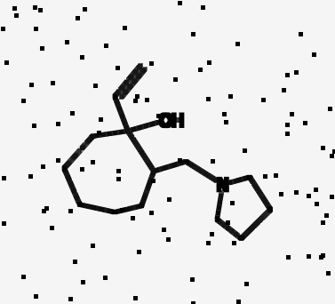 C=CC1(O)CCCCCC1CN1CCCC1